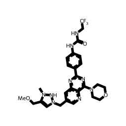 COCC1=CN(Cc2cnc3c(N4CCOCC4)nc(-c4ccc(NC(=O)NCC(F)(F)F)cc4)nc3c2)NN1C